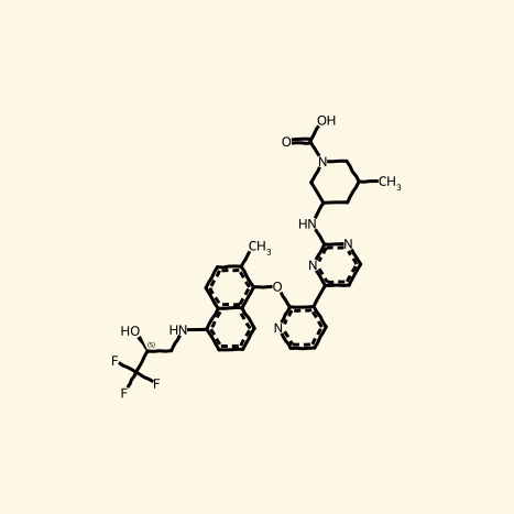 Cc1ccc2c(NC[C@H](O)C(F)(F)F)cccc2c1Oc1ncccc1-c1ccnc(NC2CC(C)CN(C(=O)O)C2)n1